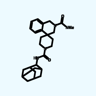 CNC(=O)N1Cc2ccccc2C2(CCN(C(=O)NC3C4CC5CC(C4)CC3C5)CC2)C1